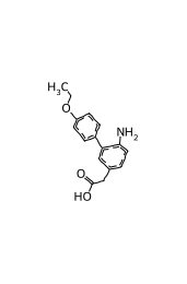 CCOc1ccc(-c2cc(CC(=O)O)ccc2N)cc1